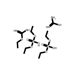 CCOP(=O)(O)OCC.CCOP(=O)(O)OCC.CCSC(=N)N.N=C(N)S